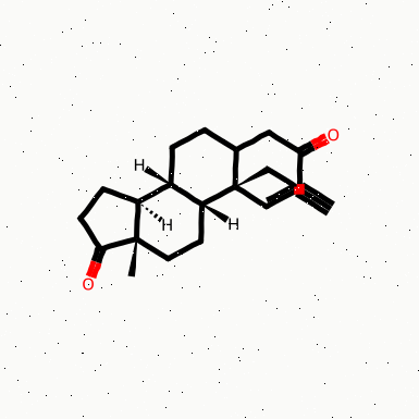 C#CC[C@]12C=CC(=O)CC1CC[C@@H]1[C@H]2CC[C@]2(C)C(=O)CC[C@@H]12